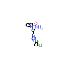 NC(=O)c1cc2ccccc2n1C1CC(CCN2CCN(c3cccc(Cl)c3Cl)CC2)C1